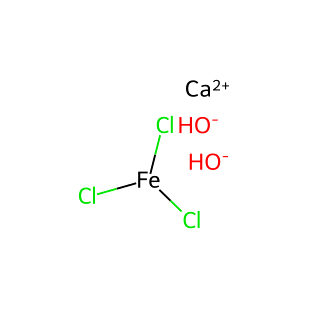 [Ca+2].[Cl][Fe]([Cl])[Cl].[OH-].[OH-]